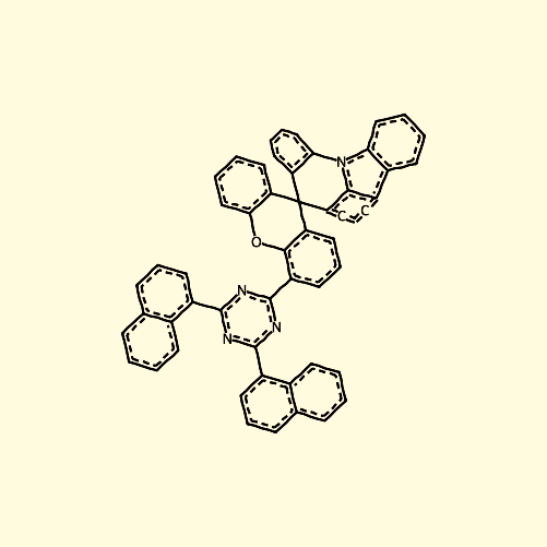 c1ccc2c(c1)Oc1c(-c3nc(-c4cccc5ccccc45)nc(-c4cccc5ccccc45)n3)cccc1C21c2ccccc2-n2c3ccccc3c3cccc1c32